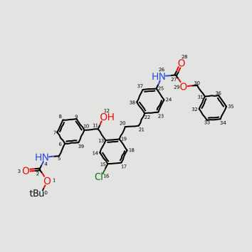 CC(C)(C)OC(=O)NCc1cccc(C(O)c2cc(Cl)ccc2CCc2ccc(NC(=O)OCc3ccccc3)cc2)c1